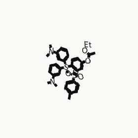 CCOC(C)Oc1ccc(S(OS(=O)(=O)c2ccc(C)cc2)(c2cccc(N(C)C)c2)c2cccc(N(C)C)c2)cc1